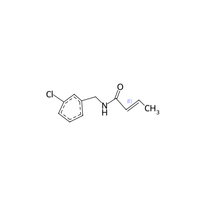 C/C=C/C(=O)NCc1cccc(Cl)c1